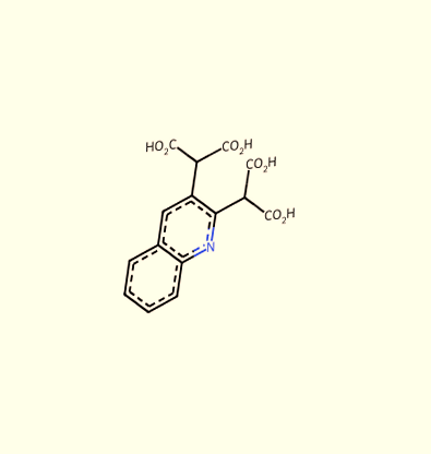 O=C(O)C(C(=O)O)c1cc2ccccc2nc1C(C(=O)O)C(=O)O